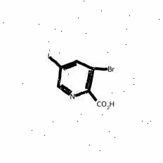 O=C(O)c1ncc(I)cc1Br